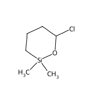 C[Si]1(C)CCCC(Cl)O1